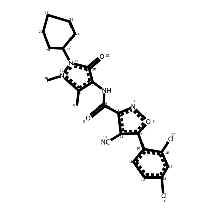 Cc1c(NC(=O)c2noc(-c3ccc(Cl)cc3Cl)c2C#N)c(=O)n(C2CCCCC2)n1C